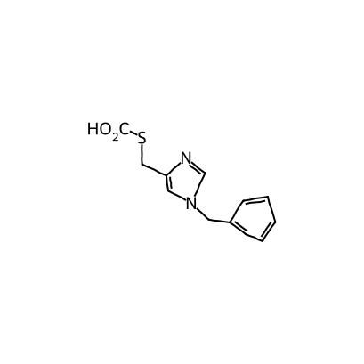 O=C(O)SCc1cn(Cc2ccccc2)cn1